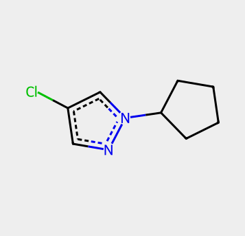 Clc1cnn(C2CCCC2)c1